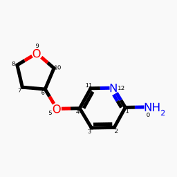 Nc1ccc(OC2CCOC2)cn1